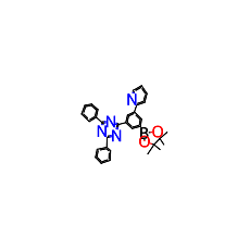 CC1(C)OB(c2cc(-c3ccccn3)cc(-c3nc(-c4ccccc4)nc(-c4ccccc4)n3)c2)OC1(C)C